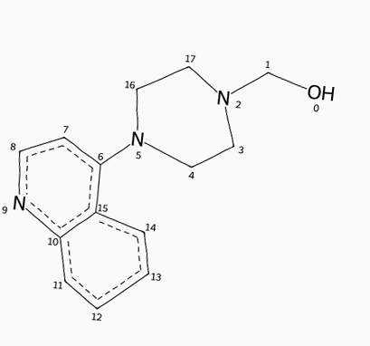 OCN1CCN(c2ccnc3ccccc23)CC1